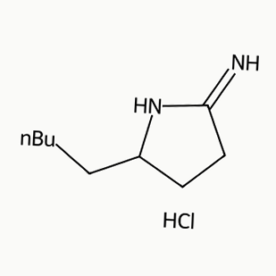 CCCCCC1CCC(=N)N1.Cl